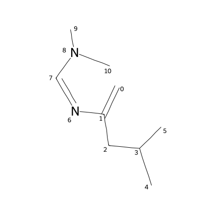 C=C(CC(C)C)/N=C\N(C)C